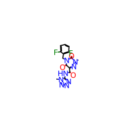 Cn1nnnc1NC(=O)c1nn(C)c(=O)n(Cc2c(F)cccc2F)c1=O